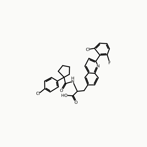 O=C(O)C(Cc1ccc2nc(-c3c(F)cccc3Cl)ccc2c1)NC(=O)C1(c2ccc(Cl)cc2)CCCC1